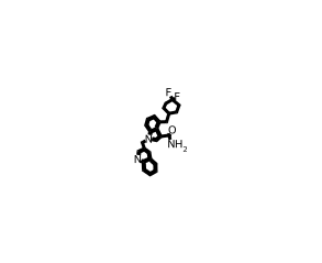 NC(=O)c1cn(Cc2cnc3ccccc3c2)c2cccc(CC3CCC(F)(F)CC3)c12